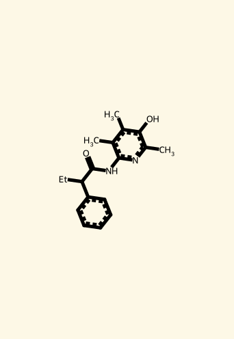 CCC(C(=O)Nc1nc(C)c(O)c(C)c1C)c1ccccc1